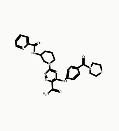 NC(=O)c1nnc(N2CCCC(NC(=O)c3ccccn3)C2)nc1Nc1ccc(C(=O)N2CCOCC2)cc1